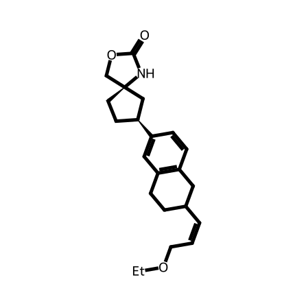 CCOC/C=C\C1CCc2cc([C@H]3CC[C@]4(COC(=O)N4)C3)ccc2C1